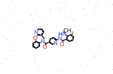 CNc1ccccc1C(=O)Nc1ccc(C(=O)N2Cc3cccnc3Oc3ccccc32)cn1